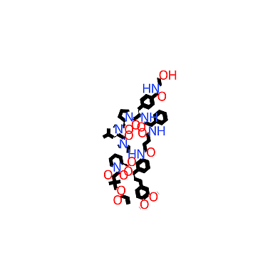 C=CC(=O)OCC(C)(C)C(=O)C(=O)N1CCCC[C@H]1C(=O)O[C@H](CCc1ccc(OC)c(OC)c1)c1cccc(NC(=O)CCC(=O)N[C@H](C(=O)N[C@@H](Cc2ccc(C(=O)NCCO)cc2)C(=O)N2CCC[C@@H]2C(=O)N(C)[C@@H](CC(C)C)C(=O)N(C)CC)c2ccccc2)c1